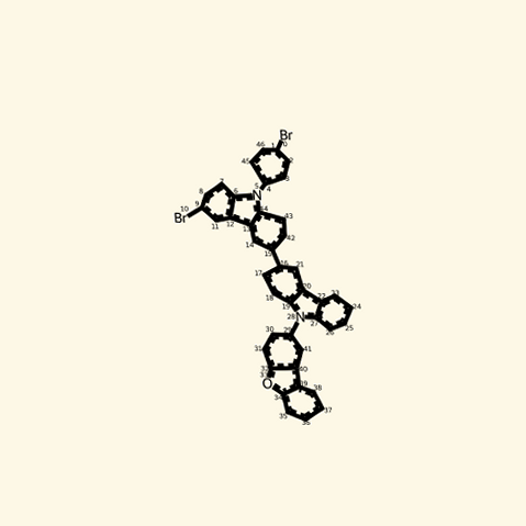 Brc1ccc(-n2c3ccc(Br)cc3c3cc(-c4ccc5c(c4)c4ccccc4n5-c4ccc5oc6ccccc6c5c4)ccc32)cc1